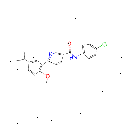 COc1ccc(C(C)C)cc1-c1ccc(C(=O)Nc2ccc(Cl)cc2)cn1